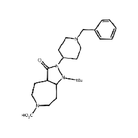 CC(C)(C)N1C2CCN(C(=O)O)CCC2C(=O)N1C1CCN(Cc2ccccc2)CC1